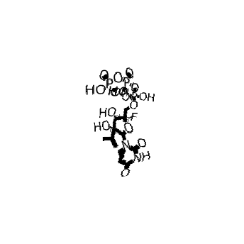 C=C(C)[C@]1(O)C(n2ccc(=O)[nH]c2=O)O[C@](F)(COP(=O)(O)OP(=O)(O)OP(=O)(O)O)[C@H]1O